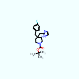 CC(C)(C)OC(=O)N1CCC(Cc2ccc(F)cc2)(Cc2ncc[nH]2)CC1